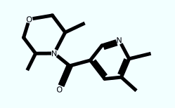 Cc1cc(C(=O)N2C(C)COCC2C)cnc1C